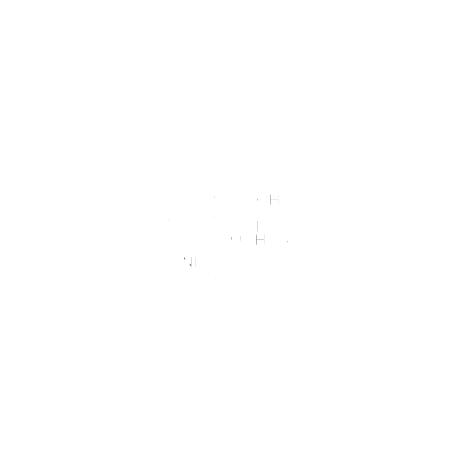 NC1C2C=CC(CC2)C1O[PH](=O)O